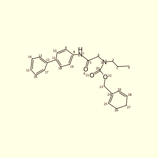 CCCN(CC(=O)Nc1ccc(-c2ccccc2)cc1)C(=O)OCC1=CCCC=C1